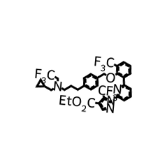 CCOC(=O)c1cnn(-c2cccc(-c3cccc(C(F)(F)F)c3OCc3ccc(CCCN(CC4CC4)CC(F)(F)F)cc3)n2)c1C(F)(F)F